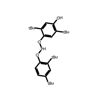 CC(C)(C)c1ccc(OPOc2cc(C(C)(C)C)c(O)cc2C(C)(C)C)c(C(C)(C)C)c1